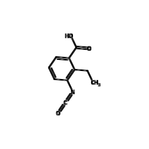 CCc1c(N=C=O)cccc1C(=O)O